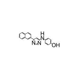 Oc1ccc(Nc2cc(-c3ccc4ccccc4c3)ncn2)cc1